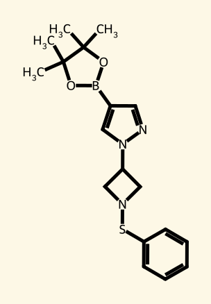 CC1(C)OB(c2cnn(C3CN(Sc4ccccc4)C3)c2)OC1(C)C